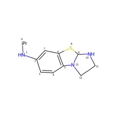 CC(C)Nc1ccc2c(c1)SC1NCCN21